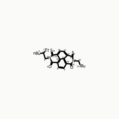 CCCCC(CC)CN1C(=O)c2ccc3c4c(ccc(c24)C1=S)C(=S)N(CC(C)CC)C3=O